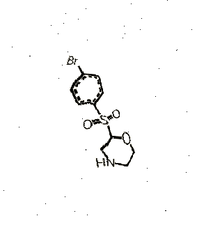 O=S(=O)(c1ccc(Br)cc1)C1CNCCO1